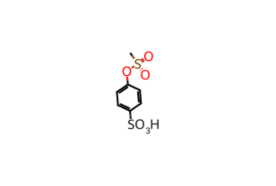 CS(=O)(=O)Oc1ccc(S(=O)(=O)O)cc1